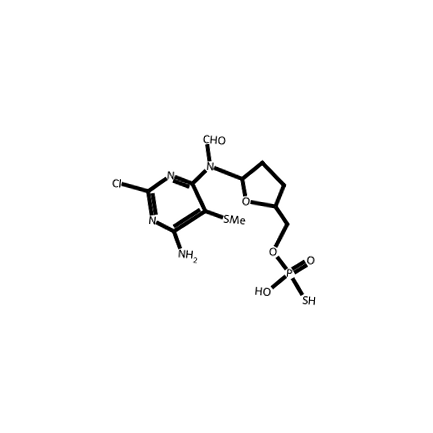 CSc1c(N)nc(Cl)nc1N(C=O)C1CCC(COP(=O)(O)S)O1